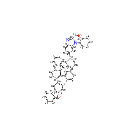 c1ccc([Si](c2ccccc2)(c2cccc(-c3ccc4oc5ccccc5c4c3)c2)c2cccc(-c3ccc4nc5n(c4c3)-c3ccccc3OC5)c2)cc1